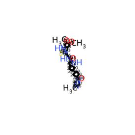 COc1cc2c(cc1OC)NC(=S)N(CCNC(=O)c1cc3ccc(-c4ccc(C(=O)N5CCN(C)CC5)cc4)cc3[nH]1)C2